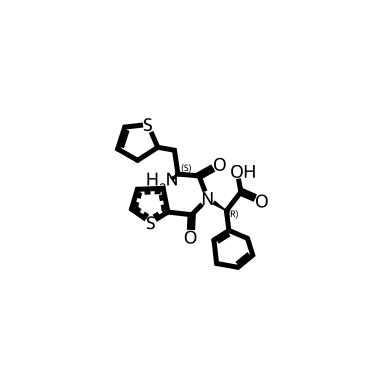 N[C@@H](CC1CC=CS1)C(=O)N(C(=O)c1cccs1)[C@@H](C(=O)O)C1=CCC=CC1